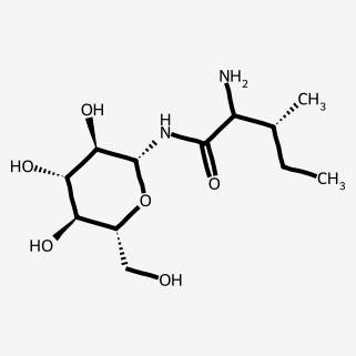 CC[C@@H](C)C(N)C(=O)N[C@@H]1O[C@H](CO)[C@@H](O)[C@H](O)[C@H]1O